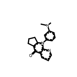 CN(C)c1cccc(-n2c3c(c(=O)c4cccnc42)CCC3)c1